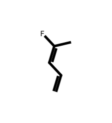 C=C/C=C(\C)F